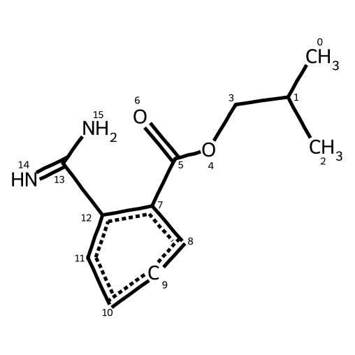 CC(C)COC(=O)c1ccccc1C(=N)N